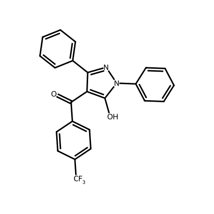 O=C(c1ccc(C(F)(F)F)cc1)c1c(-c2ccccc2)nn(-c2ccccc2)c1O